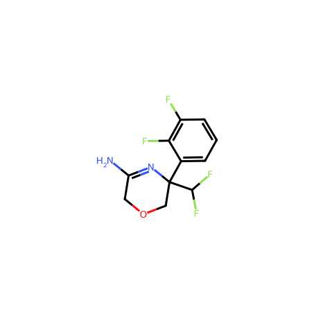 NC1=NC(c2cccc(F)c2F)(C(F)F)COC1